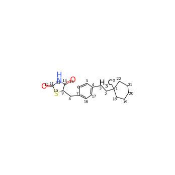 CC1(CCc2ccc(CC3SC(=O)NC3=O)cc2)CCCCC1